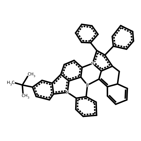 CC(C)(C)c1ccc2c(c1)c1ccc3c4c1n2-c1ccccc1B4C1=C2C=CC=CC2Cc2c(-c4ccccc4)c(-c4ccccc4)n-3c21